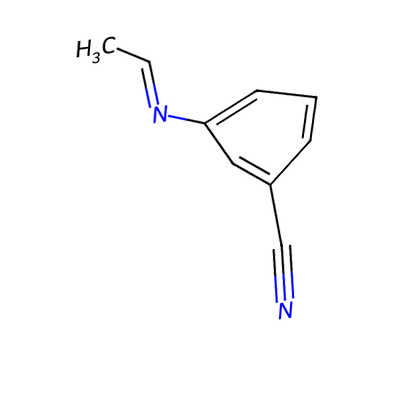 C/C=N/c1cccc(C#N)c1